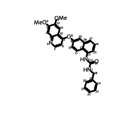 COc1cc2nccc(Oc3ccc4c(NC(=O)NCc5ccccc5)cccc4c3)c2cc1OC